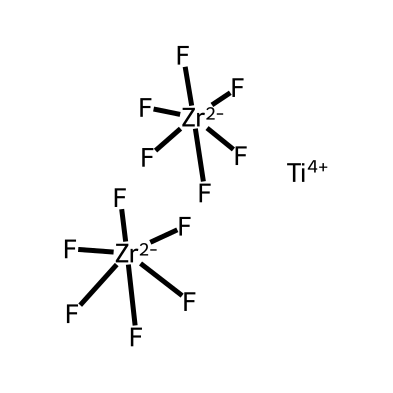 [F][Zr-2]([F])([F])([F])([F])[F].[F][Zr-2]([F])([F])([F])([F])[F].[Ti+4]